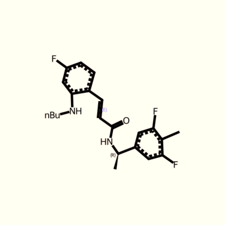 CCCCNc1cc(F)ccc1/C=C/C(=O)N[C@H](C)c1cc(F)c(C)c(F)c1